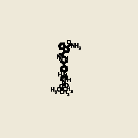 CC(C)(C)OC(=O)N1C[C@@H]2C[C@H]1CN2c1ccc(-c2cnc3c(-c4ccc(C(N)=O)c5ccccc45)cnn3c2)cc1